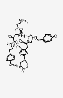 COc1ccc(CCNC(=O)C(=O)[C@H](CCCCN)NC(=O)[C@@H]2C[C@@H](OCc3ccc(Cl)cc3)CN2C(=O)Cc2nc(C3CCNCC3)sc2C)cc1